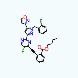 CCCCOC(=O)c1ccccc1C#Cc1nc(-c2cc(-c3ccon3)n(Cc3ccccc3F)n2)ncc1F